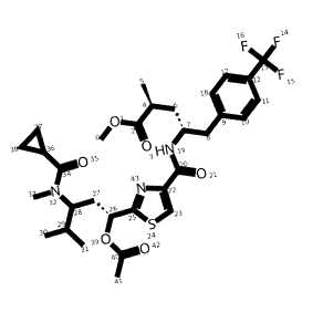 COC(=O)[C@@H](C)C[C@H](Cc1ccc(C(F)(F)F)cc1)NC(=O)c1csc([C@@H](CC(C(C)C)N(C)C(=O)C2CC2)OC(C)=O)n1